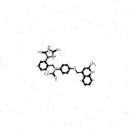 Cc1cc(COc2ccc(N(Cc3ccccc3C3NC(=O)NC3=O)C(=O)C(F)(F)F)cc2)c2ccccc2n1